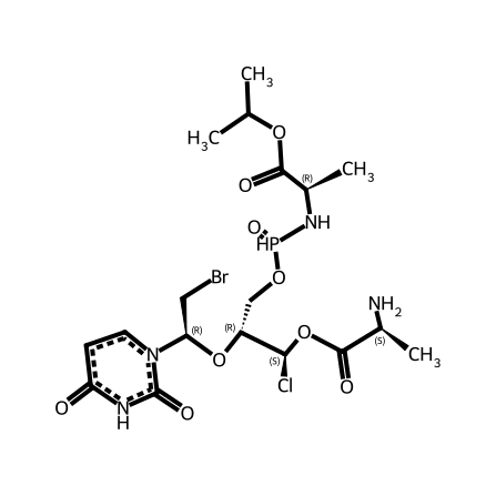 CC(C)OC(=O)[C@@H](C)N[PH](=O)OC[C@@H](O[C@H](CBr)n1ccc(=O)[nH]c1=O)[C@H](Cl)OC(=O)[C@H](C)N